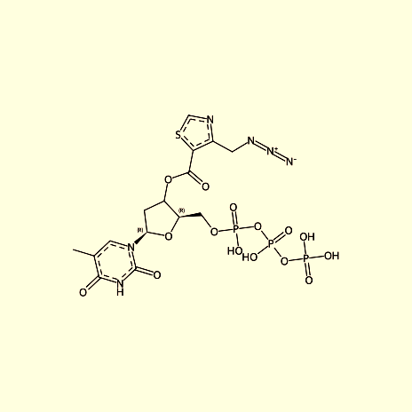 Cc1cn([C@H]2CC(OC(=O)c3scnc3CN=[N+]=[N-])[C@@H](COP(=O)(O)OP(=O)(O)OP(=O)(O)O)O2)c(=O)[nH]c1=O